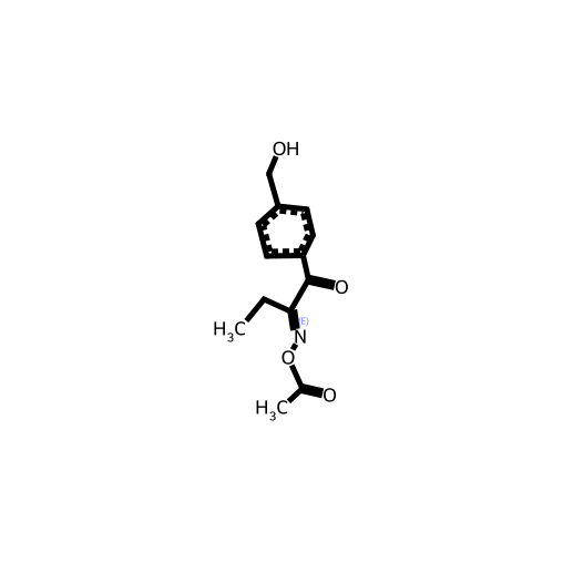 CC/C(=N\OC(C)=O)C(=O)c1ccc(CO)cc1